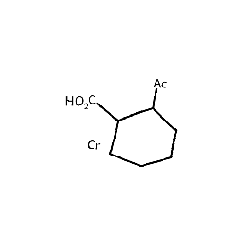 CC(=O)C1CCCCC1C(=O)O.[Cr]